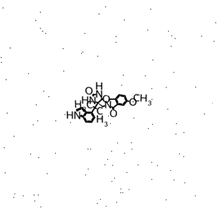 COc1ccc2c(c1)C(=O)N(C[C@@]1(C(C)(C)c3cccc4[nH]ccc34)NC(=O)NC1=O)C2